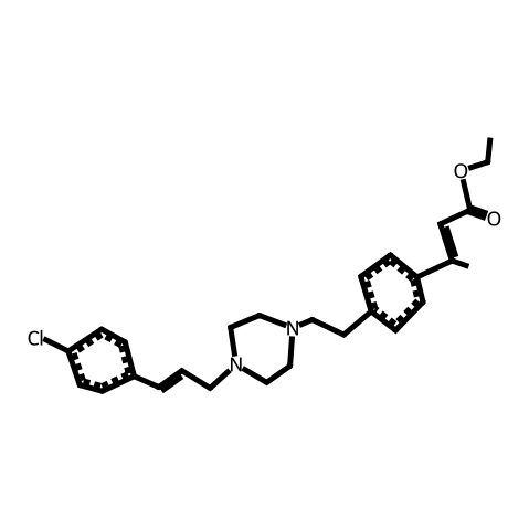 CCOC(=O)C=C(C)c1ccc(CCN2CCN(CC=Cc3ccc(Cl)cc3)CC2)cc1